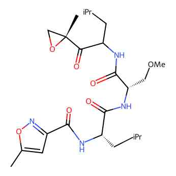 COC[C@H](NC(=O)[C@H](CC(C)C)NC(=O)c1cc(C)on1)C(=O)NC(CC(C)C)C(=O)[C@@]1(C)CO1